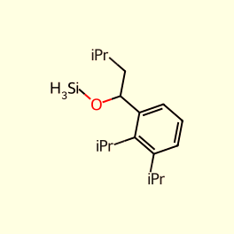 CC(C)CC(O[SiH3])c1cccc(C(C)C)c1C(C)C